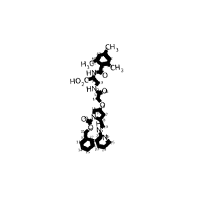 Cc1cc(C)c(C(=O)NC(CNC(=O)COC2CC(CNc3ccccn3)N(C(=O)OCc3ccccc3)C2)C(=O)O)c(C)c1